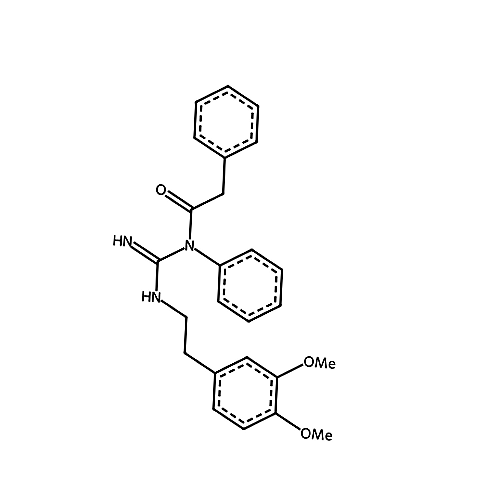 COc1ccc(CCNC(=N)N(C(=O)Cc2ccccc2)c2ccccc2)cc1OC